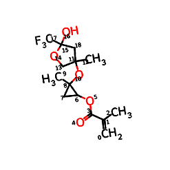 C=C(C)C(=O)OC1CC1(C)OC1(C)COC(O)(C(F)(F)F)C1